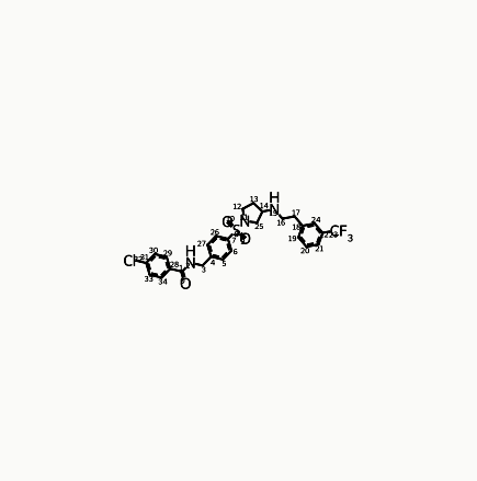 O=C(NCc1ccc(S(=O)(=O)N2CCC(NCCc3cccc(C(F)(F)F)c3)C2)cc1)c1ccc(Cl)cc1